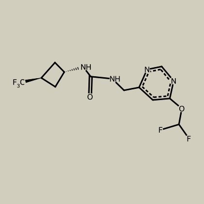 O=C(NCc1cc(OC(F)F)ncn1)N[C@H]1C[C@H](C(F)(F)F)C1